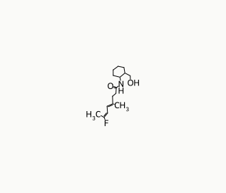 C/C(F)=C\C=C(/C)CCC(=O)NC1CCCCC1CO